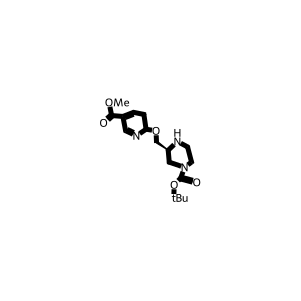 COC(=O)C1=CCC(OC[C@@H]2CN(C(=O)OC(C)(C)C)CCN2)N=C1